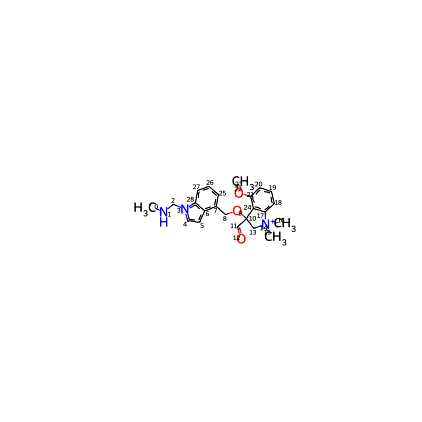 CNCn1ccc2c(COC3(C=O)C[N+](C)(C)c4cccc(OC)c43)cccc21